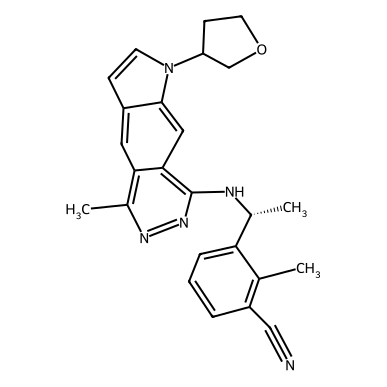 Cc1c(C#N)cccc1[C@@H](C)Nc1nnc(C)c2cc3ccn(C4CCOC4)c3cc12